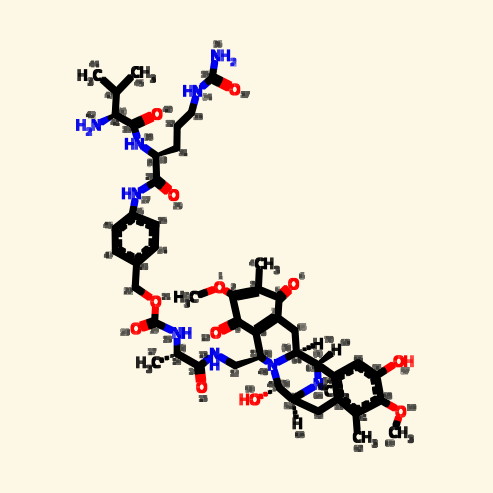 COC1=C(C)C(=O)C2=C(C1=O)[C@H](CNC(=O)[C@H](C)NC(=O)OCc1ccc(NC(=O)[C@H](CCCNC(N)=O)NC(=O)[C@@H](N)C(C)C)cc1)N1[C@@H](O)[C@@H]3Cc4c(cc(O)c(OC)c4C)[C@@H]([C@@H]1C2)N3C